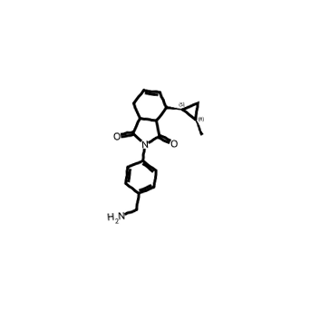 C[C@@H]1C[C@@H]1C1C=CCC2C(=O)N(c3ccc(CN)cc3)C(=O)C21